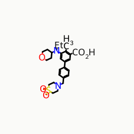 CCN(c1cc(-c2ccc(CN3CCS(=O)(=O)CC3)cc2)cc(C(=O)O)c1C)C1CCOCC1